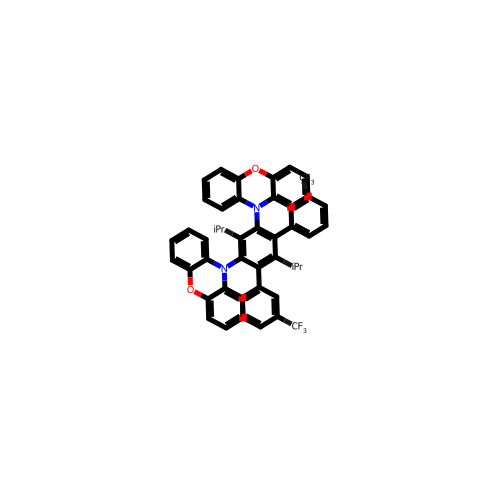 CC(C)c1c(-c2cccc(C(F)(F)F)c2)c(N2c3ccccc3Oc3ccccc32)c(C(C)C)c(N2c3ccccc3Oc3ccccc32)c1-c1cccc(C(F)(F)F)c1